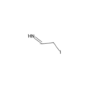 N=[C]CI